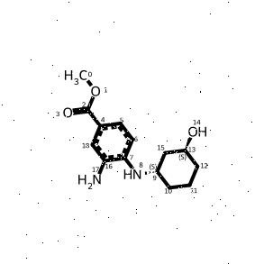 COC(=O)c1ccc(N[C@H]2CCC[C@H](O)C2)c(N)c1